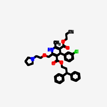 CC1=C(C(=O)OCCC#N)C(c2cccc(Cl)c2)C(C(=O)OCCC(c2ccccc2)c2ccccc2)=C(COCCN2CCCC2)N1